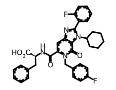 O=C(N[C@@H](Cc1ccccc1)C(=O)O)c1cc2nc(-c3ccccc3F)n(C3CCCCC3)c2c(=O)n1Cc1ccc(F)cc1